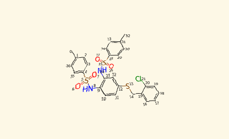 Cc1ccc(S(=O)(=O)Nc2ccc(SCc3ccccc3Cl)cc2NS(=O)(=O)c2ccc(C)cc2)cc1